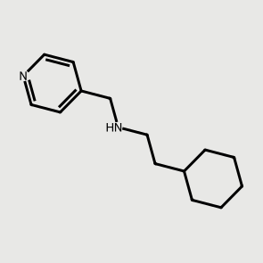 c1cc(CNCCC2CCCCC2)ccn1